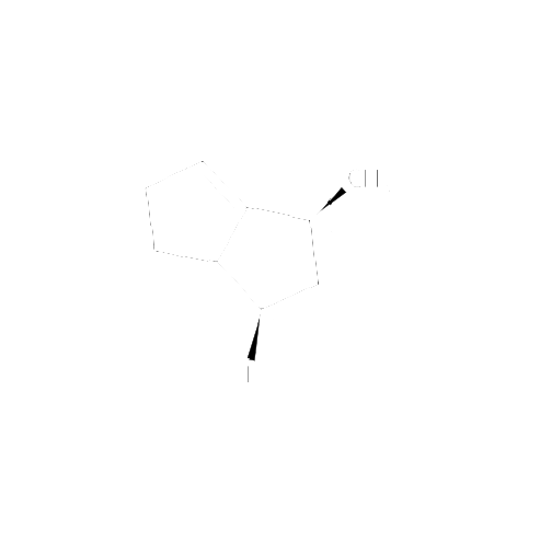 C[C@H]1C[C@@H](I)C2CCC=C21